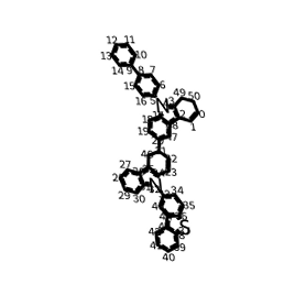 C1=Cc2c(n(-c3ccc(-c4ccccc4)cc3)c3ccc(C4C=Cc5c(c6ccccc6n5-c5ccc6sc7ccccc7c6c5)C4)cc23)CC1